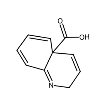 O=C(O)C12C=CC=CC1=NCC=C2